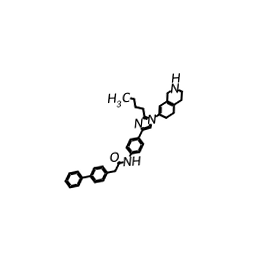 CCCCc1nc(-c2ccc(NC(=O)Cc3ccc(-c4ccccc4)cc3)cc2)cn1C1=CC2=C(CCNC2)CC1